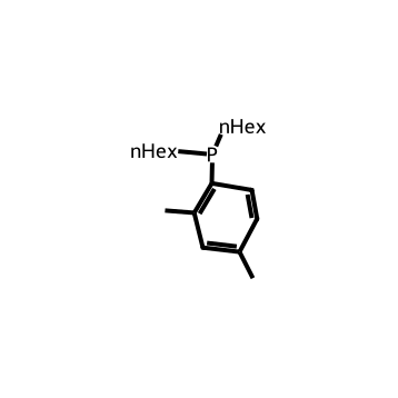 CCCCCCP(CCCCCC)c1ccc(C)cc1C